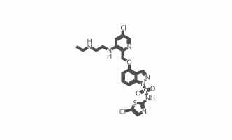 CCNCCNc1cc(Cl)cnc1COc1cccc2c1cnn2S(=O)(=O)Nc1ncc(Cl)s1